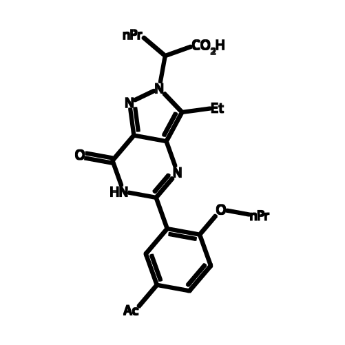 CCCOc1ccc(C(C)=O)cc1-c1nc2c(CC)n(C(CCC)C(=O)O)nc2c(=O)[nH]1